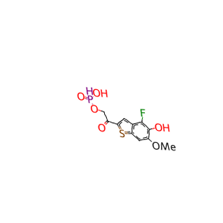 COc1cc2sc(C(=O)CO[PH](=O)O)cc2c(F)c1O